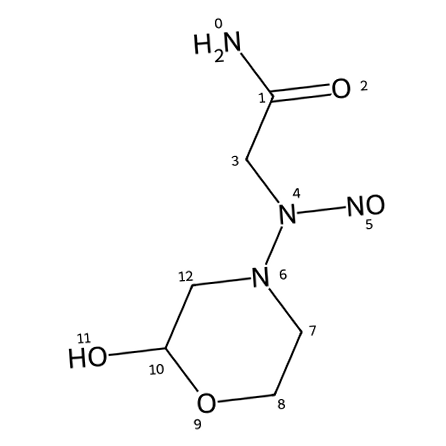 NC(=O)CN(N=O)N1CCOC(O)C1